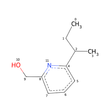 CCC(C)c1cccc(CO)n1